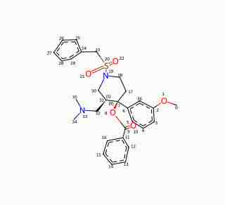 COc1cccc([C@@]2(OC(=O)c3ccccc3)CCN(S(=O)(=O)Cc3ccccc3)C[C@@H]2CN(C)C)c1